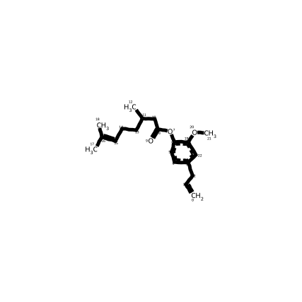 C=CCc1ccc(OC(=O)CC(C)CCC=C(C)C)c(OC)c1